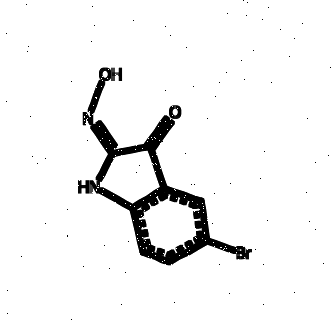 O=C1C(=NO)Nc2ccc(Br)cc21